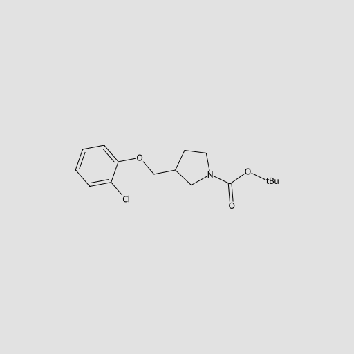 CC(C)(C)OC(=O)N1CCC(COc2ccccc2Cl)C1